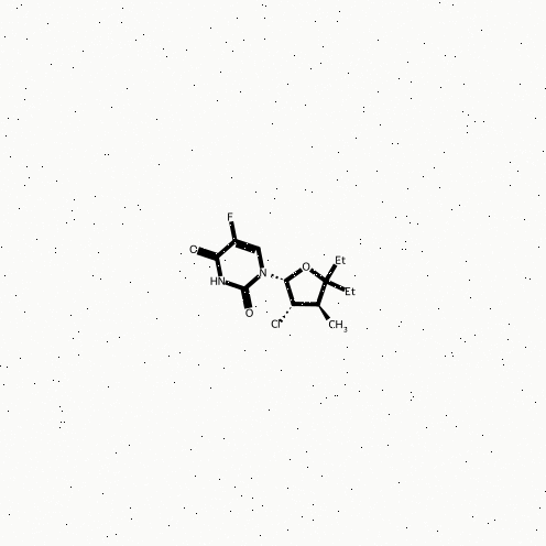 CCC1(CC)O[C@@H](n2cc(F)c(=O)[nH]c2=O)[C@@H](Cl)[C@@H]1C